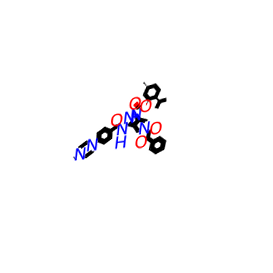 CO[C@@H](C(=O)N1Cc2c(NC(=O)c3ccc(N4CCN(C)CC4)cc3)nn(C(=O)O[C@@H]3C[C@H](C)CC[C@H]3C(C)C)c2C1)c1ccccc1